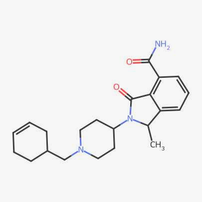 CC1c2cccc(C(N)=O)c2C(=O)N1C1CCN(CC2CC=CCC2)CC1